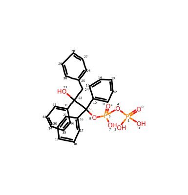 O=P(O)(O)OP(=O)(O)OC(c1ccccc1)(c1ccccc1)C(O)(Cc1ccccc1)c1ccccc1